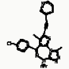 CCC[C@@H]1N=C(c2ccc(Cl)cc2)c2c(sc(C#Cc3cccnc3)c2C)-n2c(C)nnc21